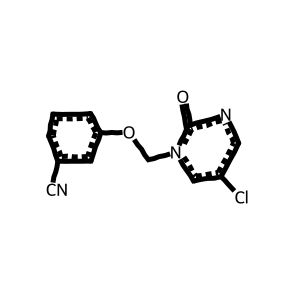 N#Cc1cccc(OCn2cc(Cl)cnc2=O)c1